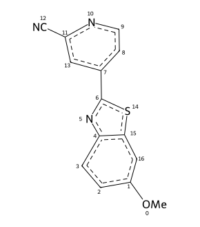 COc1ccc2nc(-c3ccnc(C#N)c3)sc2c1